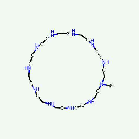 CC(C)N1CCNCCNCCNCCNCCNCCNCCNCCNCCNCCNCC1